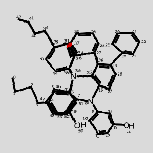 CCCCc1ccc(N(c2cccc(O)c2)c2ccc(-c3ccccc3)c(-c3ccccc3)c2N(c2ccc(CCCC)cc2)c2cccc(O)c2)cc1